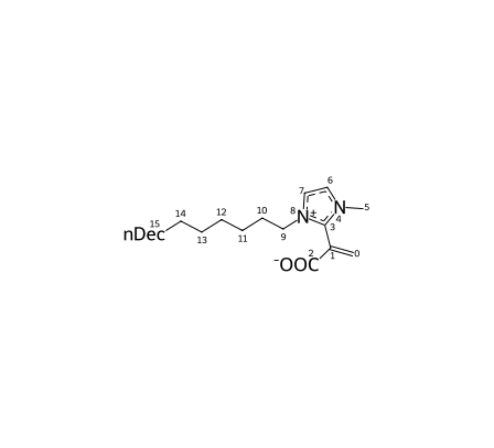 C=C(C(=O)[O-])c1n(C)cc[n+]1CCCCCCCCCCCCCCCC